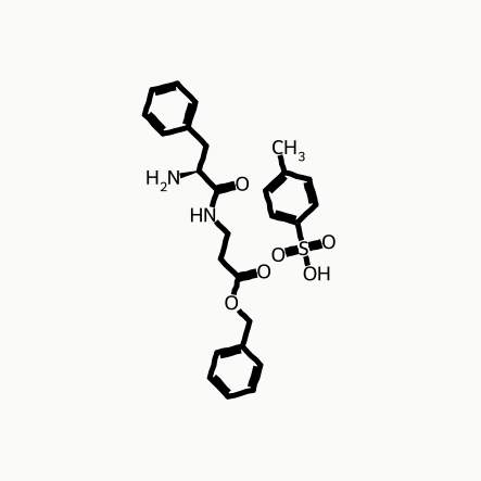 Cc1ccc(S(=O)(=O)O)cc1.N[C@@H](Cc1ccccc1)C(=O)NCCC(=O)OCc1ccccc1